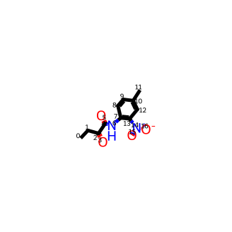 CCC(=O)C(=O)Nc1ccc(C)cc1[N+](=O)[O-]